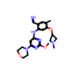 COc1nc(Nc2cc(OC3CN(C)C3)c(C)cc2C=N)cc(N2CCOCC2)n1